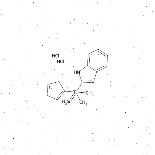 Cl.Cl.[CH3][Ti]([CH3])(=[SiH2])([C]1=CC=CC1)[c]1cc2ccccc2[nH]1